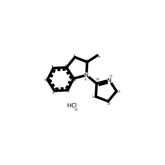 CC1Cc2ccccc2N1C1=NCCC1.Cl